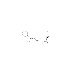 CCC(C)OC(=O)C(CCCCC(C)C1CCCC1)C(=O)O